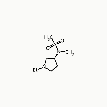 CCN1CC[C@H](N(C)S(C)(=O)=O)C1